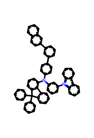 c1ccc(C2(c3ccccc3)c3ccccc3-c3c(N(c4ccc(-c5cccc(-c6ccc7ccccc7c6)c5)cc4)c4cccc(-n5c6ccccc6c6ccccc65)c4)cccc32)cc1